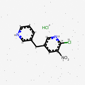 Cl.O=[N+]([O-])c1cc(Cc2cccnc2)cnc1Cl